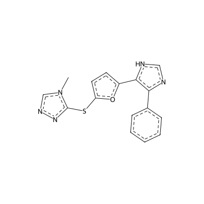 Cn1cnnc1Sc1ccc(-c2[nH]cnc2-c2ccccc2)o1